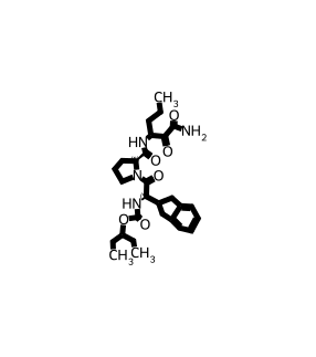 CCCC(NC(=O)[C@@H]1CCCN1C(=O)[C@@H](NC(=O)OC(CC)CC)C1Cc2ccccc2C1)C(=O)C(N)=O